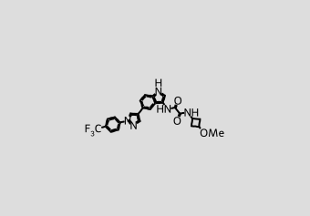 COC1CC(NC(=O)C(=O)Nc2c[nH]c3ccc(-c4cnn(-c5ccc(C(F)(F)F)cc5)c4)cc23)C1